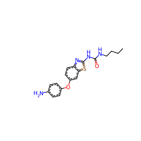 CCCCNC(=O)Nc1nc2ccc(Oc3ccc(N)cc3)cc2s1